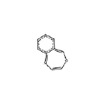 C1=COC=c2ccccc2=N1